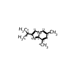 Cc1cc(C)c2nc(C(C)C)cn2c1